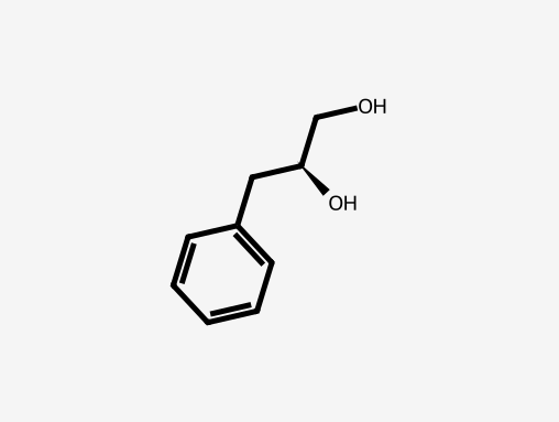 OC[C@@H](O)Cc1ccccc1